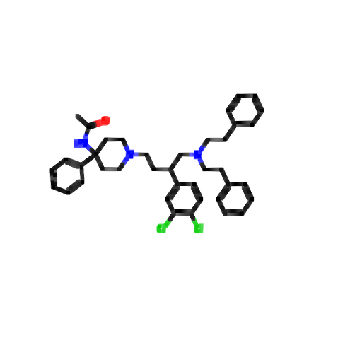 CC(=O)NC1(c2ccccc2)CCN(CCC(CN(CCc2ccccc2)CCc2ccccc2)c2ccc(Cl)c(Cl)c2)CC1